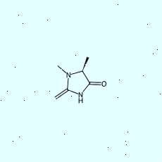 C=C1NC(=O)[C@H](C)N1C